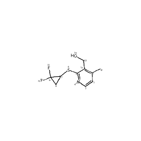 Cc1ccnc(SC2CC2(F)F)c1CO